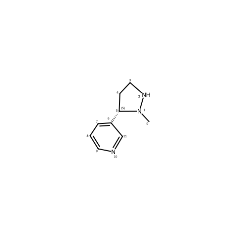 CN1NCC[C@H]1c1cccnc1